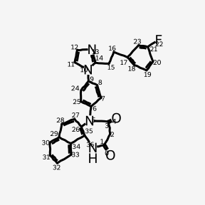 O=C1CC(=O)N(c2ccc(-n3ccnc3CCc3cccc(F)c3)cc2)c2ccc3ccccc3c2N1